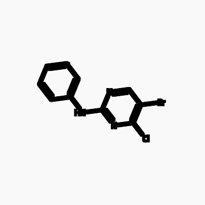 Clc1nc(Nc2c[c]ccc2)ncc1Br